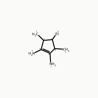 CCC1C(C)C(N)=C(N)C1C